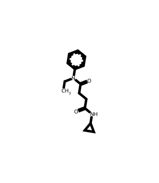 CCN(C(=O)CCC(=O)NC1CC1)c1ccccc1